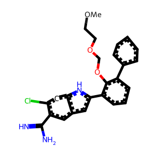 COCCOCOc1c(-c2ccccc2)cccc1-c1cc2cc(C(=N)N)c(Cl)cc2[nH]1